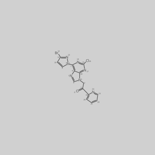 O=C(Cn1cnc2c(-n3ccc(Br)n3)nc(Cl)nc21)c1ccccn1